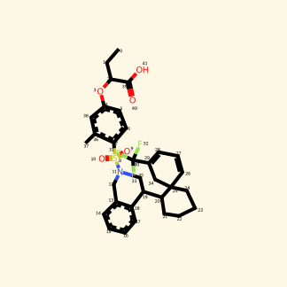 CCC(Oc1ccc(S(=O)(=O)N2Cc3ccccc3C(C3CCCCC34C=CC=C(C(F)(F)F)C4)C2)c(C)c1)C(=O)O